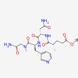 C[C@@H](CCC(=O)OC(C)(C)C)C(=O)N[C@@H](CC(N)=O)C(=O)N[C@@H](Cc1cccnc1)C(=O)N(C)CC(N)=O